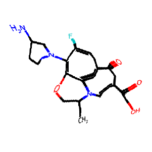 CC1COc2c(N3CCC(N)C3)c(F)cc3c(=O)c(C(=O)O)cn1c23